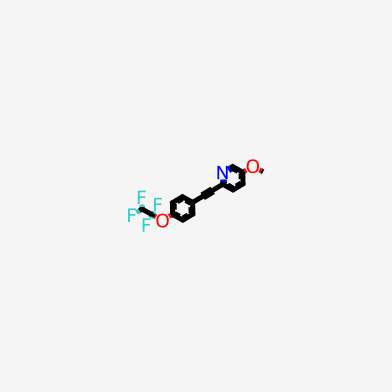 COc1ccc(C#Cc2ccc(OC(F)(F)C(F)F)cc2)nc1